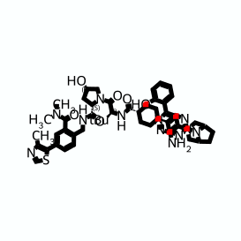 Cc1ncsc1-c1ccc(CNC(=O)[C@@H]2C[C@@H](O)CN2C(=O)[C@@H](NC(=O)[C@H]2CC[C@H](c3cnc(N4C5CCC4CN(c4cc(-c6ccccc6O)nnc4N)C5)nc3)CC2)C(C)(C)C)c(C(=O)N(C)C)c1